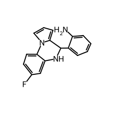 Nc1ccccc1C1Nc2cc(F)ccc2-n2cccc21